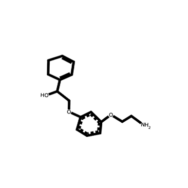 NCCOc1cccc(OCC(O)C2=CC=CCC2)c1